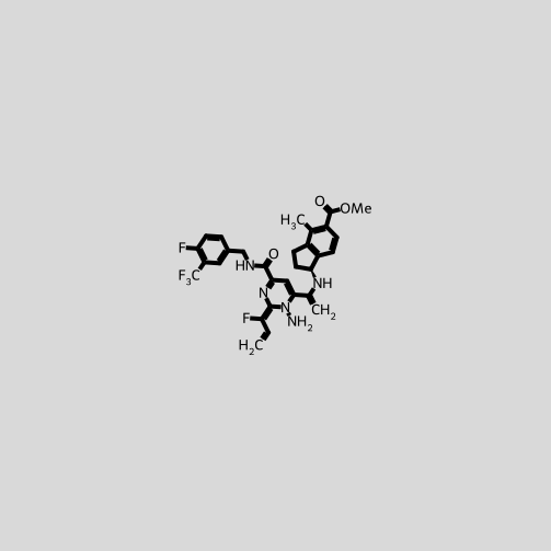 C=C/C(F)=C1/N=C(C(=O)NCc2ccc(F)c(C(F)(F)F)c2)C=C(C(=C)N[C@H]2CCc3c2ccc(C(=O)OC)c3C)N1N